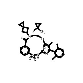 Cc1cccc(C)c1-c1nc2nc(c1C)OC[C@@H](CC1(C(F)(F)F)CC1)N(C1CC3(CC3)C1)C(=O)c1cccc(c1)S(=O)(=O)N2